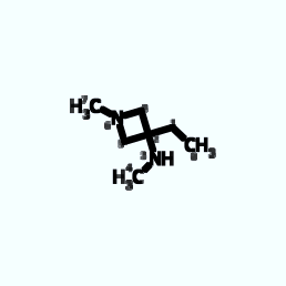 CCC1(NC)CN(C)C1